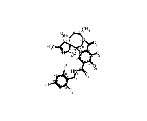 CC1=NO[C@@]2(CC[C@H](C)N3C[C@H]2n2cc(C(=O)NCc4c(F)cc(F)cc4F)c(=O)c(O)c2C3=O)[C@H]1O